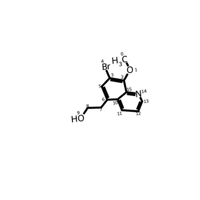 COc1c(Br)cc(CCO)c2cccnc12